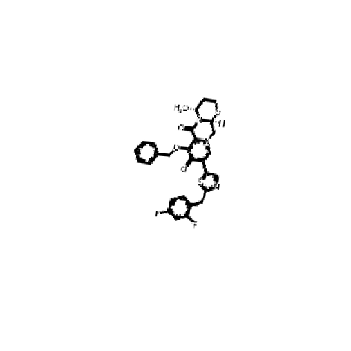 C[C@@H]1CCO[C@H]2Cn3cc(-c4cnc(Cc5ccc(F)cc5F)s4)c(=O)c(OCc4ccccc4)c3C(=O)N12